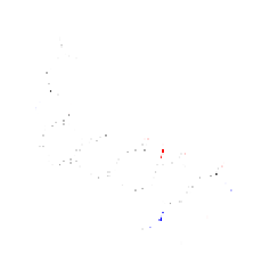 CC(C)=Cc1nc2ccc3cc4c(c(O)c3c2o1)C(=O)[C@]1(O)C(=O)C(C(N)=O)=C(O)[C@@H](N(C)C)C1C4